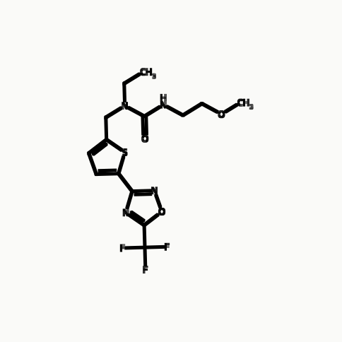 CCN(Cc1ccc(-c2noc(C(F)(F)F)n2)s1)C(=O)NCCOC